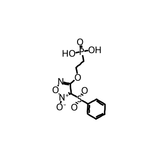 O=P(O)(O)CCOc1no[n+]([O-])c1S(=O)(=O)c1ccccc1